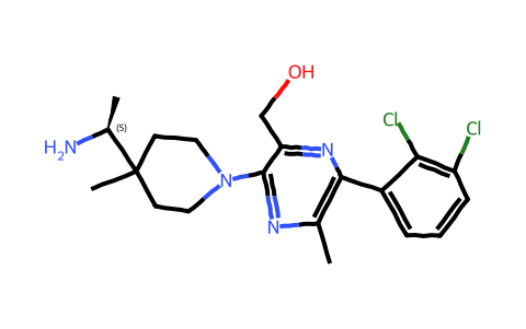 Cc1nc(N2CCC(C)([C@H](C)N)CC2)c(CO)nc1-c1cccc(Cl)c1Cl